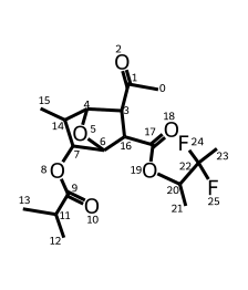 CC(=O)C1C2OC(C(OC(=O)C(C)C)C2C)C1C(=O)OC(C)C(C)(F)F